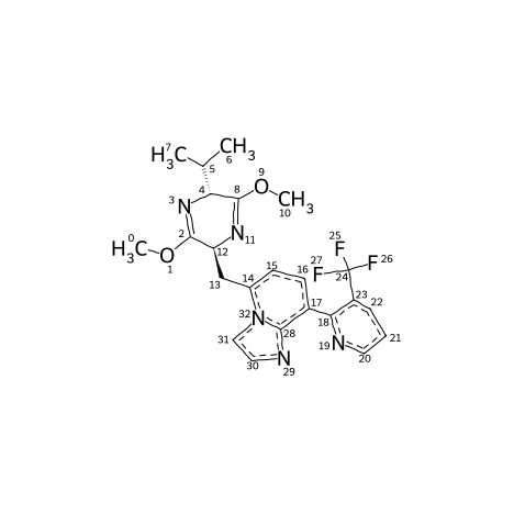 COC1=N[C@H](C(C)C)C(OC)=N[C@H]1Cc1ccc(-c2ncccc2C(F)(F)F)c2nccn12